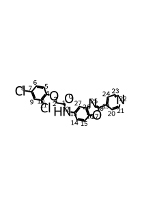 O=C(COc1ccc(Cl)cc1Cl)Nc1ccc2oc(-c3ccncc3)nc2c1